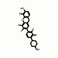 CCCc1ccc2c(c1F)Oc1c(cc(-c3ccc(C4CCC(CCC)CC4)c(F)c3F)c(F)c1F)C2